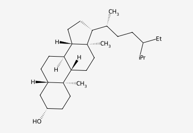 CCC(CC[C@@H](C)[C@H]1CC[C@H]2[C@@H]3CC[C@H]4C[C@@H](O)CC[C@]4(C)[C@H]3CC[C@]12C)C(C)C